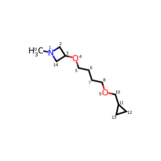 CN1CC(OCCCCOCC2CC2)C1